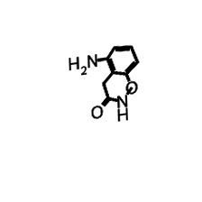 Nc1cccc2c1CC(=O)NO2